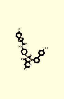 O=C(NC1CCC(n2c(=O)c3cc(F)cnc3n(-c3cccc(-c4ccc(O)cc4)c3)c2=O)CC1)c1cn2cc(F)ccc2n1